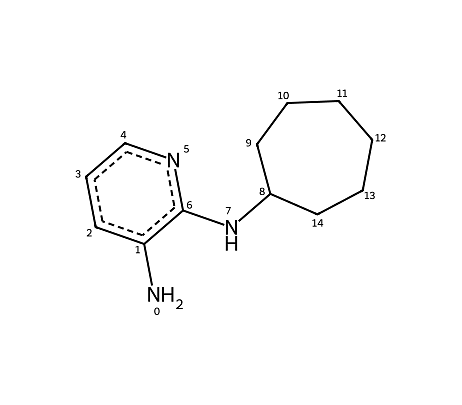 Nc1cccnc1NC1CCCCCC1